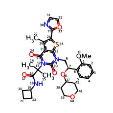 COc1ccccc1[C@H](Cn1c(=O)n(C(C)(C)C(=O)NC2CCC2)c(=O)c2c(C)c(-c3ncco3)sc21)OC1CCOCC1